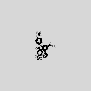 CS(=O)(=O)N1CCC2(CC1)C(=O)N(c1ccc(OC(F)(F)Cl)cc1)c1cc(C(N)=O)cc(-c3ccn[nH]3)c12